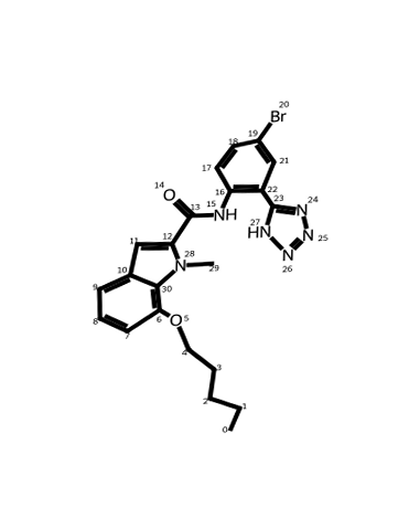 CCCCCOc1cccc2cc(C(=O)Nc3ccc(Br)cc3-c3nnn[nH]3)n(C)c12